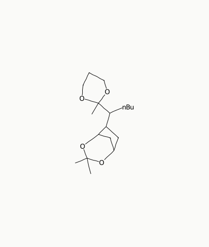 CCCCC(C1CC2CC1OC(C)(C)O2)C1(C)OCCCO1